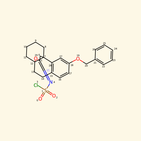 O=S(=O)(Cl)/N=C1/CC23CCCCC2(CCc2ccc(OCc4ccccc4)cc23)O1